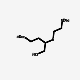 CCCCCCCCCCCCSC(CO)CCCCCCCCCCCC